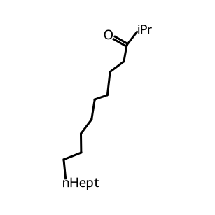 CCCCCCCCCCCCCCCC(=O)C(C)C